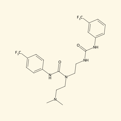 CN(C)CCN(CCNC(=O)Nc1cccc(C(F)(F)F)c1)C(=O)Nc1ccc(C(F)(F)F)cc1